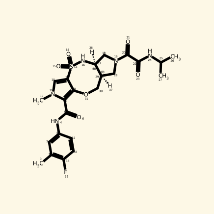 Cc1cc(NC(=O)c2c3c(cn2C)S(=O)(=O)N[C@H]2CN(C(=O)C(=O)NC(C)C)C[C@H]2CO3)ccc1F